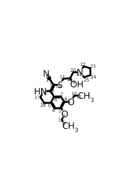 CCOc1cc2c(cc1OCC)C(=C(C#N)SCC(O)CN1CCCC1)NCC2